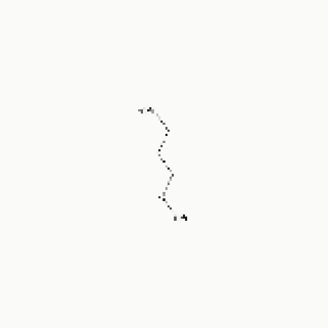 CC[CH]CCC[CH]CCC